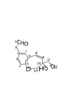 O=CCc1ccc2c(c1)C=CC(O)(CO)CO2